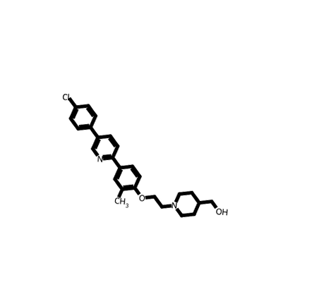 Cc1cc(-c2ccc(-c3ccc(Cl)cc3)cn2)ccc1OCCN1CCC(CO)CC1